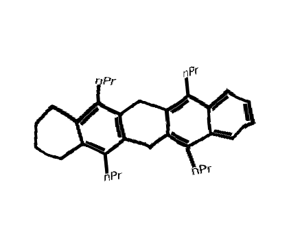 CCCc1c2c(c(CCC)c3c1Cc1c(c(CCC)c4ccccc4c1CCC)C3)CCCC2